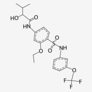 CCOc1cc(NC(=O)C(O)C(C)C)ccc1S(=O)(=O)Nc1cccc(OC(F)(F)F)c1